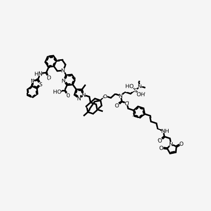 Cc1c(-c2ccc(N3CCc4cccc(C(=O)Nc5nc6ccccc6s5)c4C3)nc2C(=O)O)cnn1CC12CC3(C)CC(C)(C1)CC(OCCN(CCS(O)(O)N(C)C)C(=O)OCc1[c]cc(CCCCNC(=O)CN4C(=O)C=CC4=O)cc1)(C3)C2